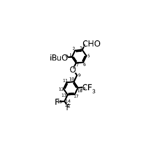 CC(C)COc1cc(C=O)ccc1OCc1ccc(C(F)F)cc1C(F)(F)F